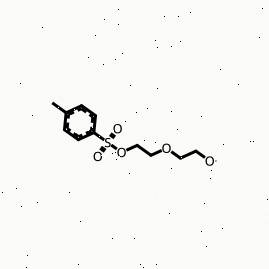 Cc1ccc(S(=O)(=O)OCCOCC[O])cc1